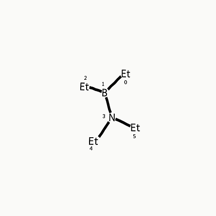 CCB(CC)N(CC)CC